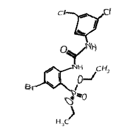 CCOP(=O)(OCC)c1cc(Br)ccc1NC(=O)Nc1cc(Cl)cc(Cl)c1